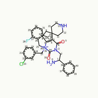 NC(CN1C(=O)C2=C(CCC23CCNCC3)[N@@+](Cc2cccc(Cl)c2)(Cc2c(F)cccc2C(F)(F)F)C1=O)c1ccccc1